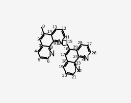 Cc1cc2cccnc2c2ncccc12.Clc1cc2cccnc2c2ncccc12